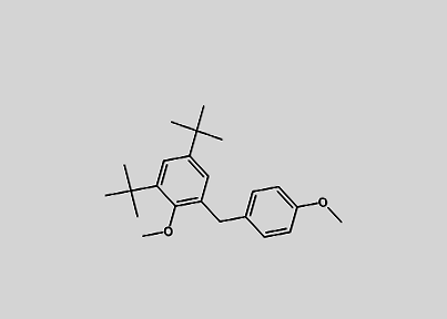 COc1ccc(Cc2cc(C(C)(C)C)cc(C(C)(C)C)c2OC)cc1